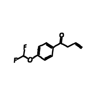 C=CCC(=O)c1ccc(OC(F)F)cc1